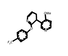 COc1ccncc1C1CC=CN=C1Oc1ccc(C(F)(F)F)cc1